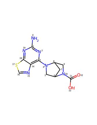 Nc1nc(N2CC3CC2CN3C(=O)O)c2ncsc2n1